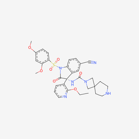 CCOc1ncccc1[C@@]1(NC(=O)N2CC3(CCNCC3)C2)C(=O)N(S(=O)(=O)c2ccc(OC)cc2OC)c2ccc(C#N)cc21